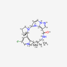 [2H]C1([2H])c2ncc(F)cc2[C@@H]2CCCN2c2ccn3ncc(c3n2)C(=O)N[C@H](C)C1([2H])[2H]